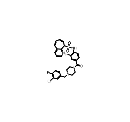 O=C(c1ccc(NS(=O)(=O)C2C=CC=Cc3cccnc32)c(F)c1)N1CCN(Cc2ccc(F)c(Cl)c2)CC1